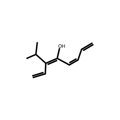 C=C/C=C\C(O)=C(/C=C)C(C)C